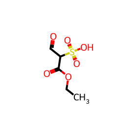 CCOC(=O)C(C=O)S(=O)(=O)O